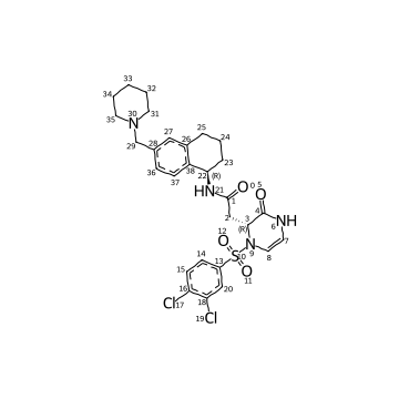 O=C(C[C@@H]1C(=O)NC=CN1S(=O)(=O)c1ccc(Cl)c(Cl)c1)N[C@@H]1CCCc2cc(CN3CCCCC3)ccc21